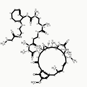 COc1cc2cc(c1Cl)CC(=O)C[C@H](OC(=O)[C@H](C)N(C)C(=O)CCSC(=O)N(C)CCN(C)C(=O)OC1/C=C/CCCCC1OCCNC(=O)CSC)[C@]1(C)O[C@H]1[C@H](C)[C@@H]1C[C@@](O)(NC(=O)O1)[C@H](OC)/C=C/C=C(\C)C2